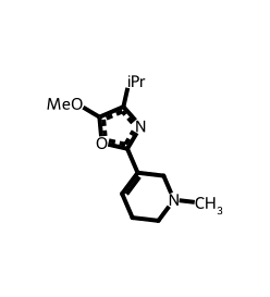 COc1oc(C2=CCCN(C)C2)nc1C(C)C